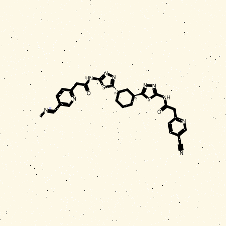 C/N=C/c1ccc(CC(=O)Nc2nnc([C@H]3CCC[C@H](c4nnc(NC(=O)Cc5ccc(C#N)cn5)s4)C3)s2)nc1